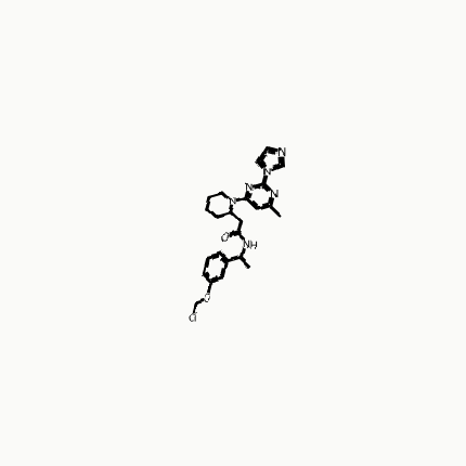 Cc1cc(N2CCCCC2CC(=O)NC(C)c2cccc(OCCl)c2)nc(-n2ccnc2)n1